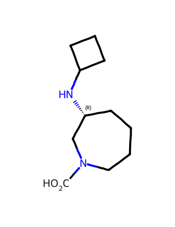 O=C(O)N1CCCC[C@@H](NC2CCC2)C1